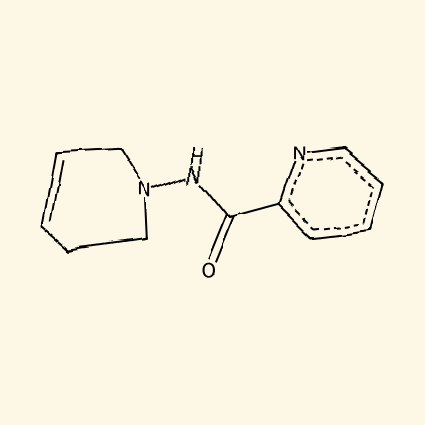 O=C(NN1CC=CCC1)c1ccccn1